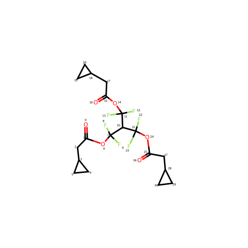 O=C(CC1CC1)OC(F)(F)[C](C(F)(F)OC(=O)CC1CC1)C(F)(F)OC(=O)CC1CC1